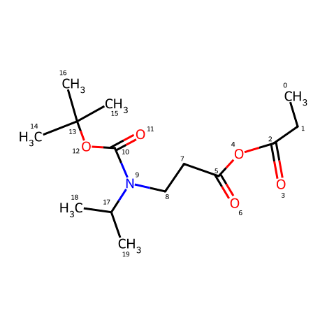 CCC(=O)OC(=O)CCN(C(=O)OC(C)(C)C)C(C)C